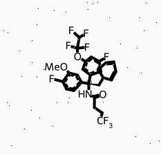 COc1cc([C@@](CC2C=CC=CC2)(NC(=O)CCC(F)(F)F)c2cc(F)cc(OC(F)(F)C(F)F)c2)ccc1F